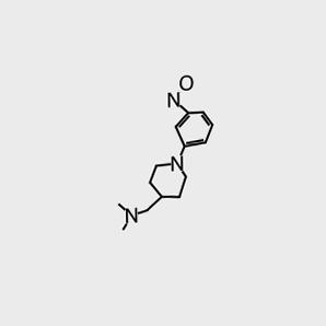 CN(C)CC1CCN(c2cccc(N=O)c2)CC1